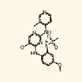 COc1ccc(Nc2nc(Nc3ccncc3C)ncc2Cl)c(NS(C)(=O)=O)c1